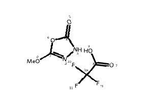 COc1n[nH]c(=O)o1.O=C(O)C(F)(F)F